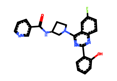 O=C(N[C@H]1CCN(c2nc(-c3ccccc3O)nc3ccc(F)cc23)C1)c1cccnc1